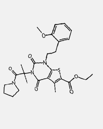 CCOC(=O)c1sc2c(c1C)c(=O)n(C(C)(C)C(=O)N1CCCC1)c(=O)n2CCc1ccccc1OC